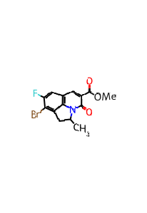 COC(=O)c1cc2cc(F)c(Br)c3c2n(c1=O)C(C)C3